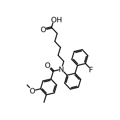 COc1cc(C(=O)N(CCCCCC(=O)O)c2ccccc2-c2ccccc2F)ccc1C